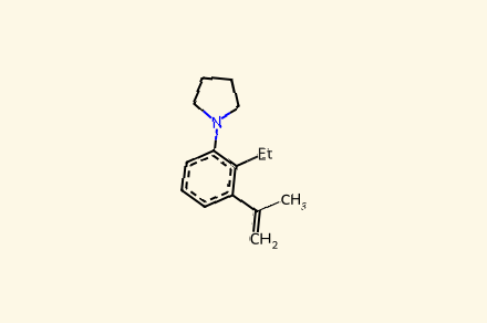 C=C(C)c1cccc(N2CCCC2)c1CC